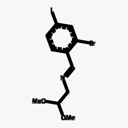 COC(CN=Cc1ccc(I)cc1Br)OC